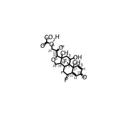 CC12CC(O)[C@@]3(F)C(C[C@H](F)C4=CC(=O)C=CC43C)C1COC2C(=O)COC(=O)C(=O)O